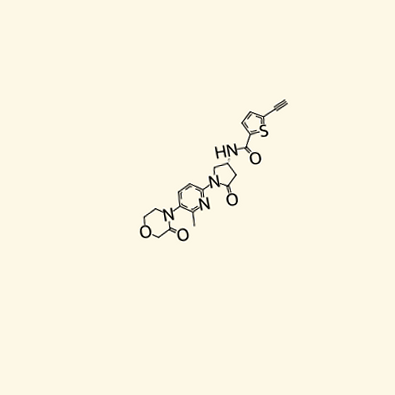 C#Cc1ccc(C(=O)N[C@@H]2CC(=O)N(c3ccc(N4CCOCC4=O)c(C)n3)C2)s1